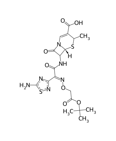 CC1S[C@@H]2C(NC(=O)C(=NOCC(=O)OC(C)(C)C)c3nsc(N)n3)C(=O)N2C=C1C(=O)O